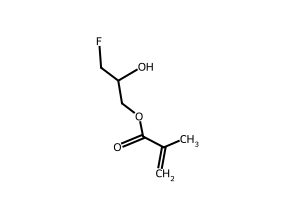 C=C(C)C(=O)OCC(O)CF